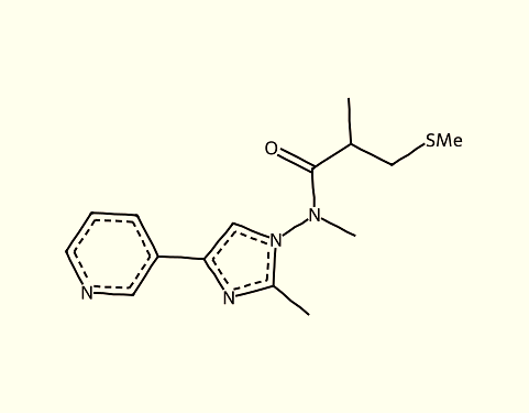 CSCC(C)C(=O)N(C)n1cc(-c2cccnc2)nc1C